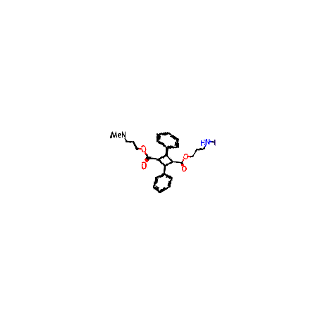 CNCCCOC(=O)C1C(c2ccccc2)C(C(=O)OCCCNI)C1c1ccccc1